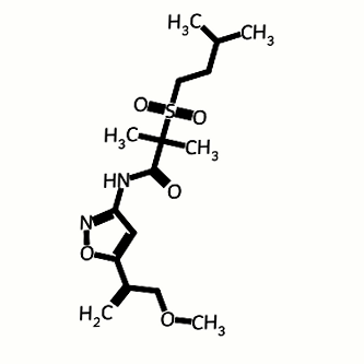 C=C(COC)c1cc(NC(=O)C(C)(C)S(=O)(=O)CCC(C)C)no1